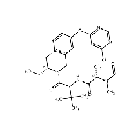 C[C@@H](C(=O)NC(C(=O)N1Cc2cc(Oc3cc(Cl)ncn3)ccc2C[C@H]1CO)C(C)(C)C)N(C)C=O